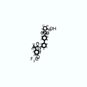 O=C(Nc1cccc(-c2ccc(S(=O)(=O)N3CCC[C@@H]3CO)cc2)c1)C1(c2ccc(OC(F)(F)F)cc2)CC1